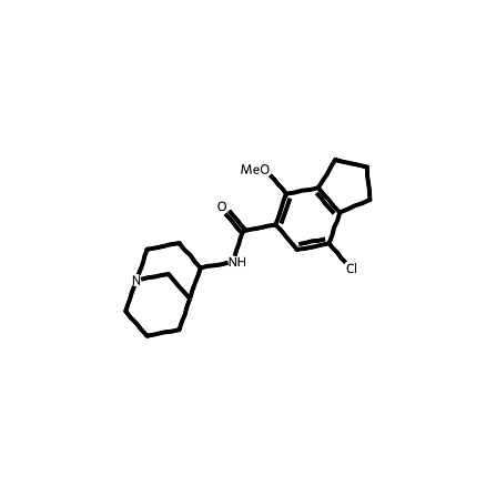 COc1c(C(=O)NC2CCN3CCCC2C3)cc(Cl)c2c1CCC2